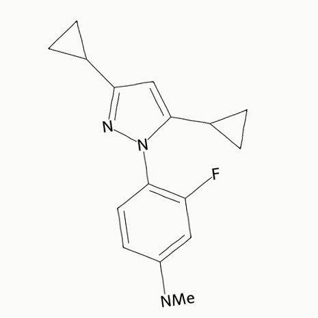 CNc1ccc(-n2nc(C3CC3)cc2C2CC2)c(F)c1